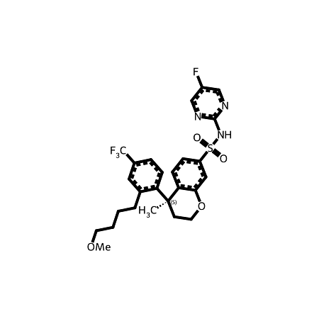 COCCCCc1cc(C(F)(F)F)ccc1[C@]1(C)CCOc2cc(S(=O)(=O)Nc3ncc(F)cn3)ccc21